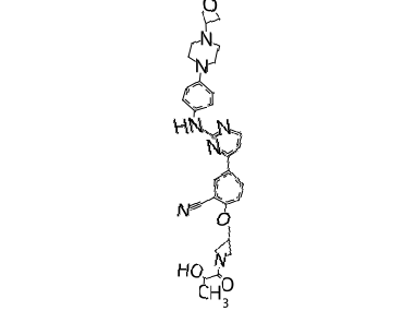 CC(O)C(=O)N1CC(COc2ccc(-c3ccnc(Nc4ccc(N5CCN(C6COC6)CC5)cc4)n3)cc2C#N)C1